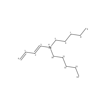 C=CC=CN(CCCCC)CCCCC